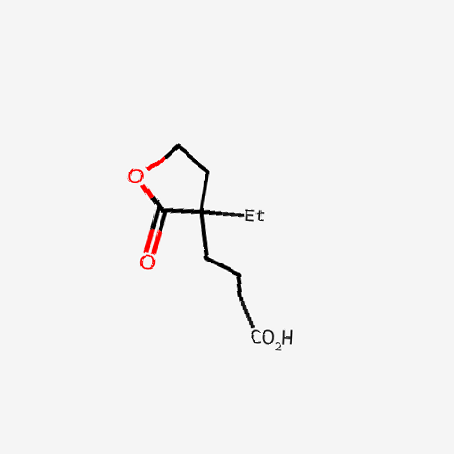 CCC1(CCC(=O)O)CCOC1=O